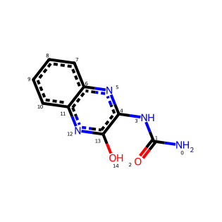 NC(=O)Nc1nc2ccccc2nc1O